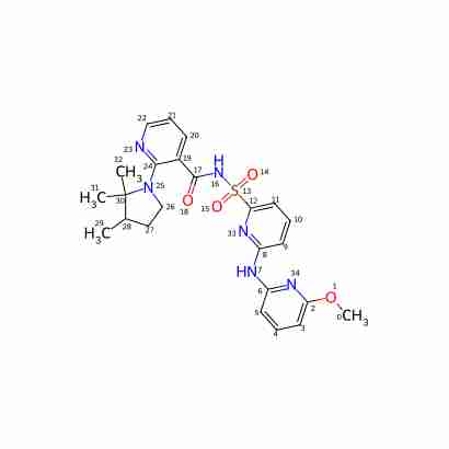 COc1cccc(Nc2cccc(S(=O)(=O)NC(=O)c3cccnc3N3CCC(C)C3(C)C)n2)n1